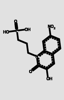 O=c1c(O)cc2ccc([N+](=O)[O-])cc2n1CCCP(=O)(O)O